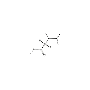 COC(=O)C(F)(F)C(C)C(C)C